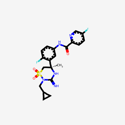 C[C@@]1(c2cc(NC(=O)c3ccc(F)cn3)ccc2F)CS(=O)(=O)N(CC2CC2)C(=N)N1